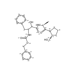 C[C@H](NC(=O)C(O)C(Cc1ccccc1)NC(=O)OCc1ccccc1)C(=O)N1CCC[C@H]1C(=O)O